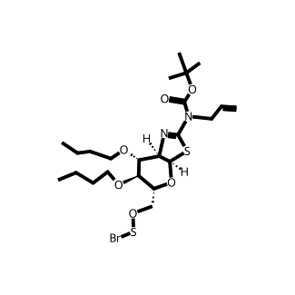 C=CCN(C(=O)OC(C)(C)C)C1=N[C@@H]2[C@@H](OCCCC)[C@H](OCCCC)[C@@H](COSBr)O[C@@H]2S1